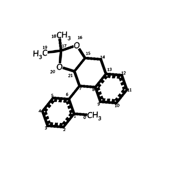 Cc1ccccc1C1c2ccccc2CC2OC(C)(C)OC21